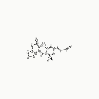 Cc1cc(/C=C/C#N)cc(C)c1Oc1nc(Cl)nc2c1CCO2